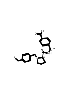 C[C@H](NC(=O)[C@H]1CCCN1Cc1ccc(CF)cc1)c1ccc(C(=O)O)cc1